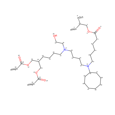 CCCCCCCCC(CCCCCC)COC(=O)CCCCCN(CCCCN(CCO)CCCCC(COC(=O)CCCCCCC)COC(=O)CCCCCCC)C1CCCCCCC1